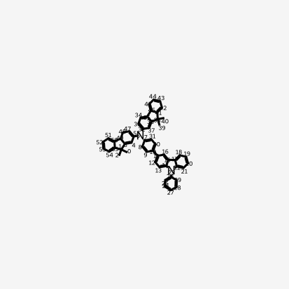 CC1(C)C2=CC(N(c3ccc(-c4ccc5c(c4)c4ccccc4n5-c4ccccc4)cc3)c3ccc4c(c3)C(C)(C)c3ccccc3-4)=CCC2c2ccccc21